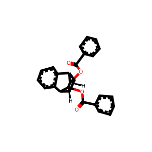 O=C(O[C@@H]1C2CCC(c3ccccc32)[C@@H]1OC(=O)c1ccccc1)c1ccccc1